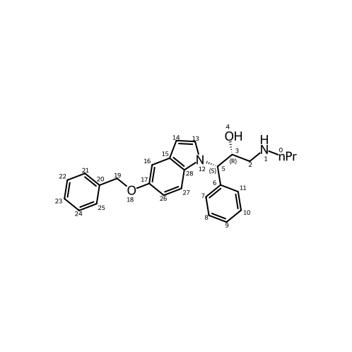 CCCNC[C@@H](O)[C@H](c1ccccc1)n1ccc2cc(OCc3ccccc3)ccc21